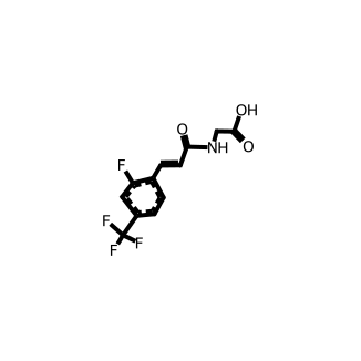 O=C(O)CNC(=O)/C=C/c1ccc(C(F)(F)F)cc1F